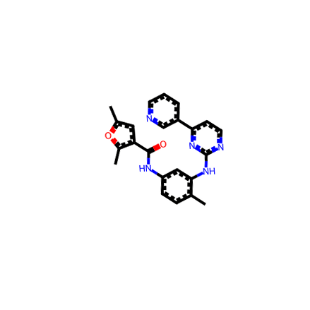 Cc1cc(C(=O)Nc2ccc(C)c(Nc3nccc(-c4cccnc4)n3)c2)c(C)o1